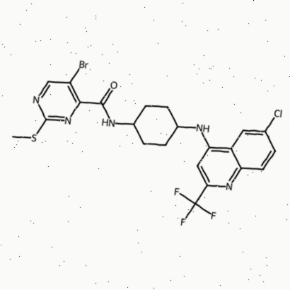 CSc1ncc(Br)c(C(=O)NC2CCC(Nc3cc(C(F)(F)F)nc4ccc(Cl)cc34)CC2)n1